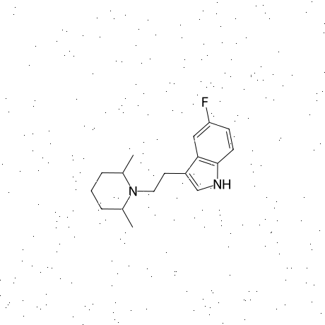 CC1CCCC(C)N1CCc1c[nH]c2ccc(F)cc12